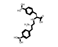 N[C@H](CN[C@@H](Cc1ccc(B(O)O)cc1)C(=O)O)Cc1ccc(B(O)O)cc1